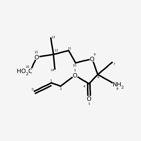 C=CCOC(=O)C(C)(N)OCCC(C)(C)OC(=O)O